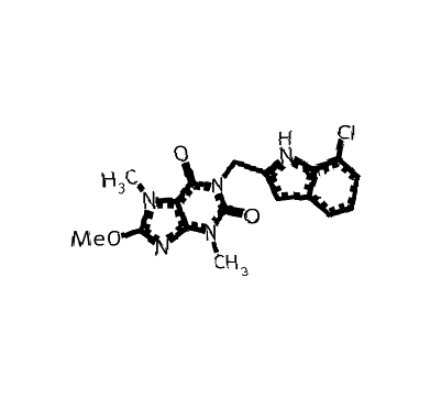 COc1nc2c(c(=O)n(Cc3cc4cccc(Cl)c4[nH]3)c(=O)n2C)n1C